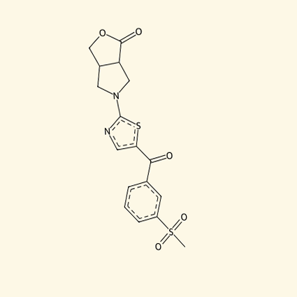 CS(=O)(=O)c1cccc(C(=O)c2cnc(N3CC4COC(=O)C4C3)s2)c1